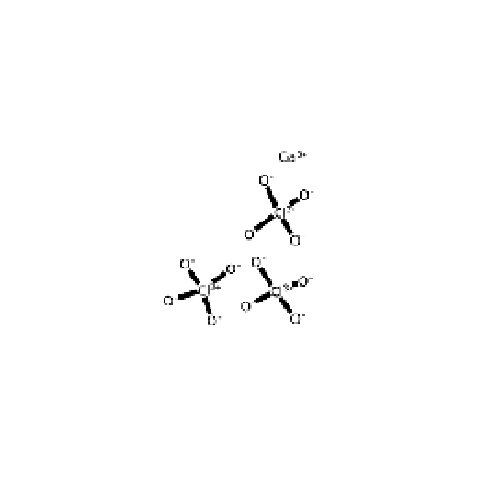 [Ga+3].[O-][Cl+3]([O-])([O-])[O-].[O-][Cl+3]([O-])([O-])[O-].[O-][Cl+3]([O-])([O-])[O-]